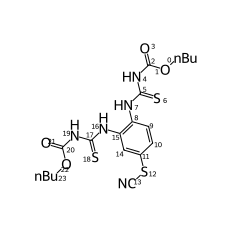 CCCCOC(=O)NC(=S)Nc1ccc(SC#N)cc1NC(=S)NC(=O)OCCCC